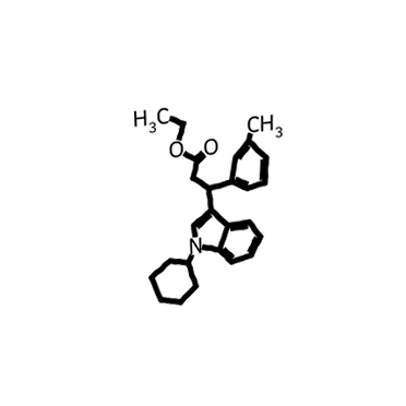 CCOC(=O)CC(c1cccc(C)c1)c1cn(C2CCCCC2)c2ccccc12